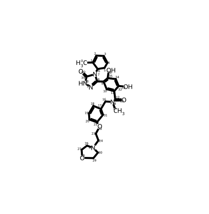 CC1=CC=CCC1n1c(-c2cc(C(=O)N(C)Cc3cccc(OCCN4CCOCC4)c3)c(O)cc2O)n[nH]c1=O